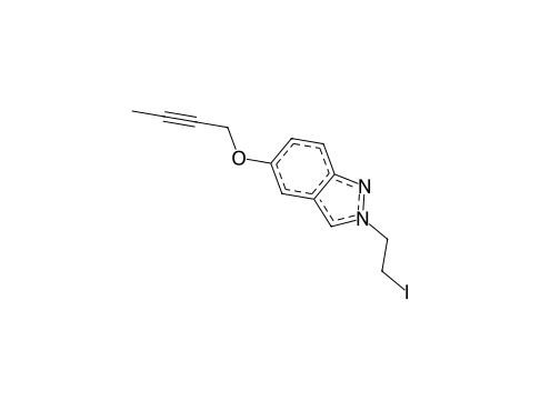 CC#CCOc1ccc2nn(CCI)cc2c1